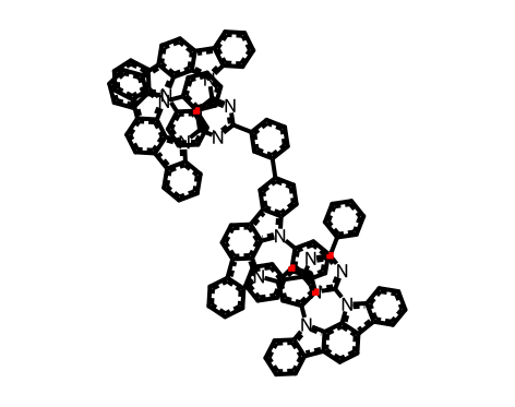 c1ccc(-c2nc(-c3ccccc3)nc(-n3c4ccccc4c4ccc5c6ccccc6n(-c6cccc(-n7c8ccccc8c8ccc9c%10cc(-c%11cccc(-c%12nc(-n%13c%14ccccc%14c%14ccc%15c%16ccccc%16n(-c%16ccccc%16)c%15c%14%13)nc(-n%13c%14ccccc%14c%14ccc%15c%16ccccc%16n(-c%16ccccc%16)c%15c%14%13)n%12)c%11)ccc%10n(-c%10ccccc%10)c9c87)c6)c5c43)n2)cc1